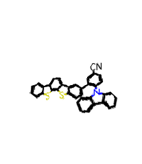 N#Cc1ccc(-n2c3ccccc3c3ccccc32)c(-c2ccc3sc4c(ccc5c6ccccc6sc54)c3c2)c1